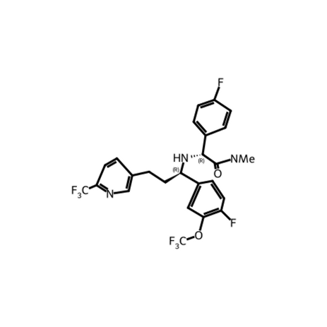 CNC(=O)[C@H](N[C@H](CCc1ccc(C(F)(F)F)nc1)c1ccc(F)c(OC(F)(F)F)c1)c1ccc(F)cc1